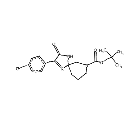 CC(C)(C)OC(=O)N1CCCC2(C1)N=C(c1ccc(Cl)cc1)C(=O)N2